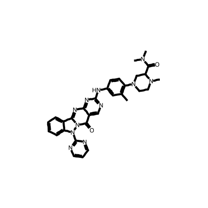 Cc1cc(Nc2ncc3c(=O)n4c(nc3n2)c2ccccc2n4-c2ncccn2)ccc1N1CCN(C)C(C(=O)N(C)C)C1